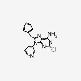 Nc1nc(Cl)nc2c1nc(Cc1ccccc1)n2-c1cccnc1